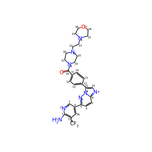 Nc1ncc(-c2ccc3ncc(-c4ccc(C(=O)N5CCN(CCN6CCOCC6)CC5)cc4)n3n2)cc1C(F)(F)F